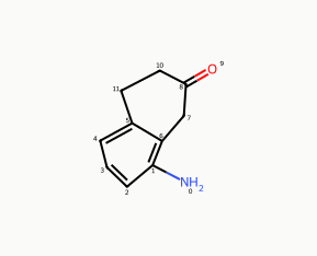 Nc1cccc2c1CC(=O)CC2